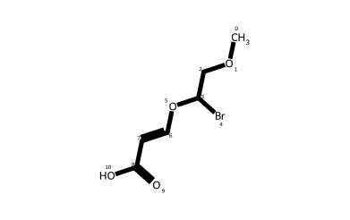 COCC(Br)OC=CC(=O)O